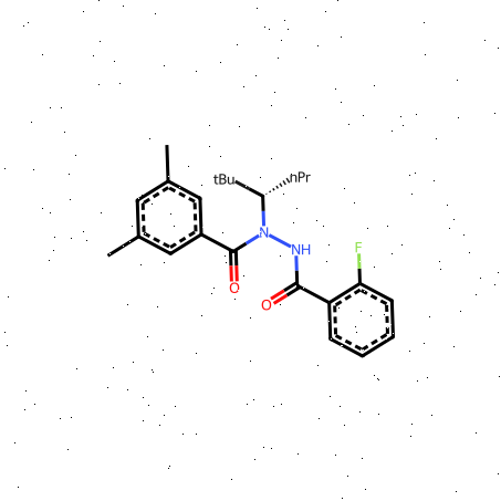 CCC[C@H](N(NC(=O)c1ccccc1F)C(=O)c1cc(C)cc(C)c1)C(C)(C)C